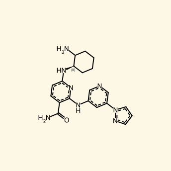 NC(=O)c1ccc(N[C@@H]2CCCCC2N)nc1Nc1cncc(-n2cccn2)c1